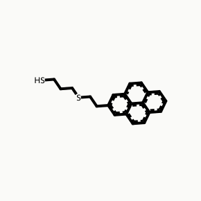 SCCCSCCc1cc2ccc3cccc4ccc(c1)c2c34